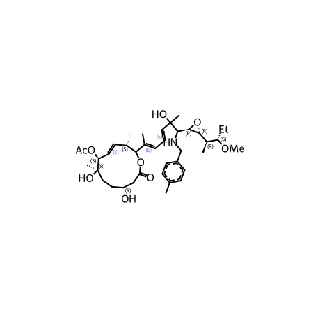 CC[C@H](OC)[C@@H](C)[C@H]1O[C@@H]1C(NCc1ccc(C)cc1)C(C)(O)/C=C/C=C(\C)C1OC(=O)C[C@H](O)CC[C@@](C)(O)[C@@H](OC(C)=O)/C=C/[C@@H]1C